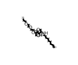 CCCCCCCCCCN[C@H]1CO[C@H]2[C@@H]1OC[C@H]2OCCOCCOCCC